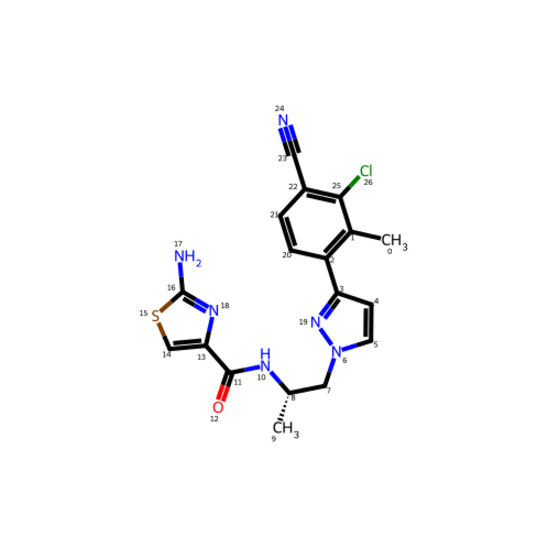 Cc1c(-c2ccn(C[C@H](C)NC(=O)c3csc(N)n3)n2)ccc(C#N)c1Cl